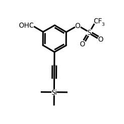 C[Si](C)(C)C#Cc1cc(C=O)cc(OS(=O)(=O)C(F)(F)F)c1